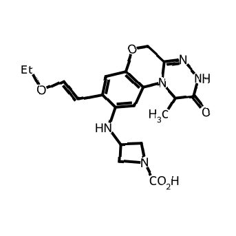 CCOC=Cc1cc2c(cc1NC1CN(C(=O)O)C1)N1C(=NNC(=O)C1C)CO2